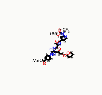 COC(=O)c1ccc(-n2cc(NC(=O)c3coc(-c4ccnc(N(CC(F)(F)F)C(=O)OC(C)(C)C)c4)n3)c(CCCOC3CCCCO3)n2)cc1